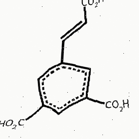 O=C(O)/C=C/c1cc(C(=O)O)cc(C(=O)O)c1